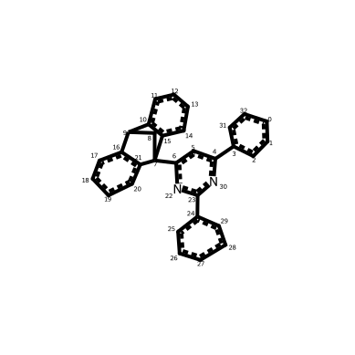 c1ccc(-c2cc(C34CC(c5ccccc53)c3ccccc34)nc(-c3ccccc3)n2)cc1